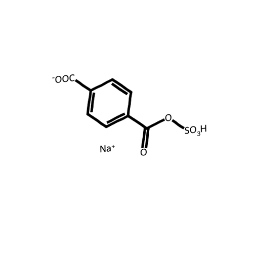 O=C([O-])c1ccc(C(=O)OS(=O)(=O)O)cc1.[Na+]